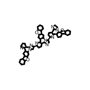 c1ccc2c(c1)oc1cc3c(cc12)c1ncccc1c1nc(-c2ccc4c(n2)c2cc5oc6ccccc6c5cc2n2c(-c5ccc6c(n5)c5ccc7c8ccccc8oc7c5n5ccnc65)cnc42)cn31